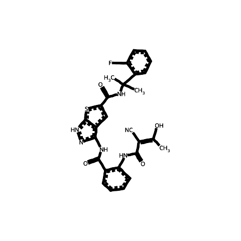 C/C(O)=C(/C#N)C(=O)Nc1ccccc1C(=O)Nc1n[nH]c2sc(C(=O)NC(C)(C)c3ccccc3F)cc12